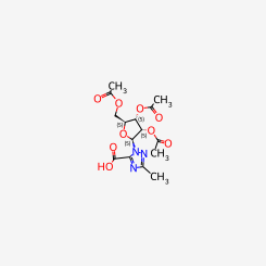 CC(=O)OC[C@@H]1O[C@H](n2nc(C)nc2C(=O)O)[C@@H](OC(C)=O)[C@H]1OC(C)=O